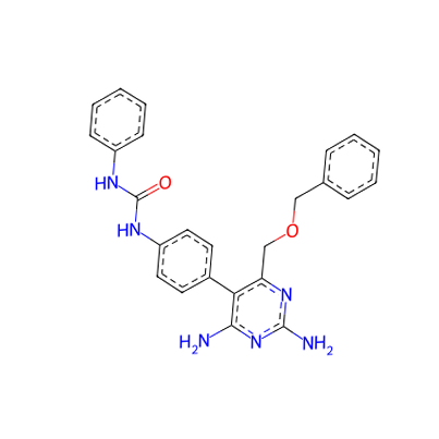 Nc1nc(N)c(-c2ccc(NC(=O)Nc3ccccc3)cc2)c(COCc2ccccc2)n1